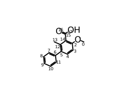 COc1ccc(-c2ccccc2)c(C)c1C(=O)O